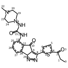 CCC(=O)c1ccc(C2=C3C(=O)c4c(NC(=O)NN5CCN(C)CC5)cccc4C3N=N2)s1